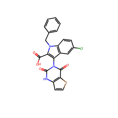 O=C(O)c1c(-n2c(=O)[nH]c3ccsc3c2=O)c2cc(Cl)ccc2n1Cc1ccccc1